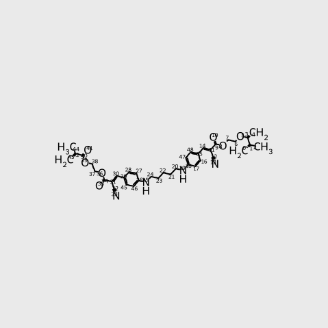 C=C(C)C(=C)OCCOC(=O)/C(C#N)=C/c1ccc(NCCCCCNc2ccc(/C=C(\C#N)C(=O)OCCOC(=O)C(=C)C)cc2)cc1